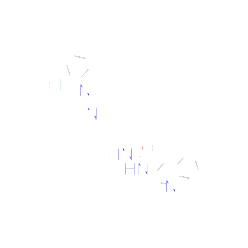 O=C(NCCCCN1CCN(c2ccccc2Cl)CC1)Nc1cnc2ccccc2c1